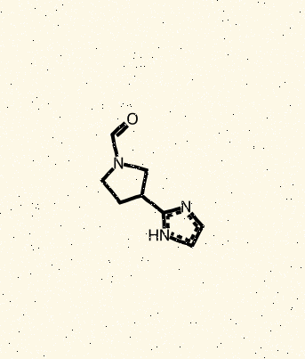 O=CN1CCC(c2ncc[nH]2)C1